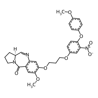 COc1ccc(Oc2ccc(OCCCOc3cc4c(cc3OC)C(=O)N3CCC[C@H]3C=N4)cc2[N+](=O)[O-])cc1